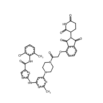 Cc1nc(Nc2ncc(C(=O)Nc3c(C)cccc3Cl)s2)cc(N2CCN(C(=O)COc3cccc4c3C(=O)N(C3CCC(=O)NC3=O)C4=O)CC2)n1